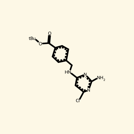 CC(C)(C)OC(=O)c1ccc(CNc2cc(Cl)nc(N)n2)cc1